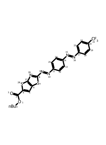 CCCCOC(=O)c1cc2sc(N=Nc3ccc(N=Nc4ccc(C(F)(F)F)cc4)cc3)nc2s1